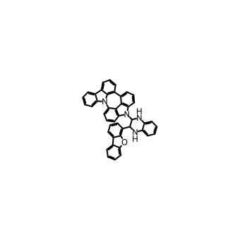 c1ccc2c(c1)NC(c1cccc3c1oc1ccccc13)C(n1c3cccc4c5cccc6c7ccccc7n(c7cccc1c7c43)c56)N2